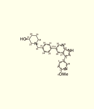 COc1ccc(-c2c[nH]c3ncc(-c4ccc(CN5CCCC(O)C5)cc4)cc23)cn1